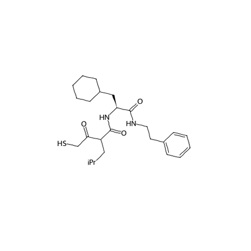 CC(C)CC(C(=O)CS)C(=O)N[C@@H](CC1CCCCC1)C(=O)NCCc1ccccc1